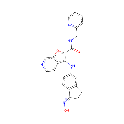 O=C(NCc1ccccn1)c1oc2cnccc2c1Nc1ccc2c(c1)CC/C2=N\O